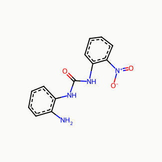 Nc1ccccc1NC(=O)Nc1ccccc1[N+](=O)[O-]